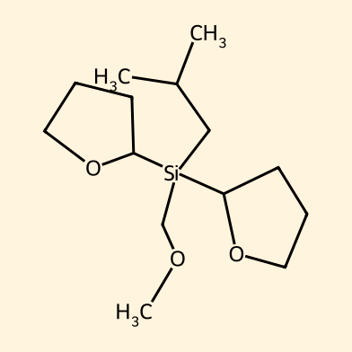 COC[Si](CC(C)C)(C1CCCO1)C1CCCO1